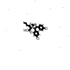 CCCC1=C(C(=O)O)N2C(=NC(c3ccc(Cl)cc3)C2c2ccc(Cl)cc2)S1